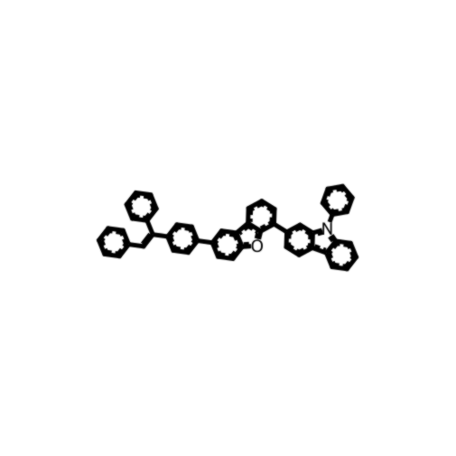 C(=C(/c1ccccc1)c1ccc(-c2ccc3oc4c(-c5ccc6c7ccccc7n(-c7ccccc7)c6c5)cccc4c3c2)cc1)/c1ccccc1